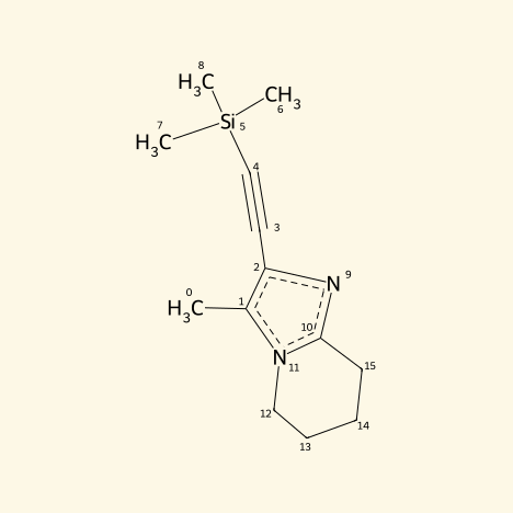 Cc1c(C#C[Si](C)(C)C)nc2n1CCCC2